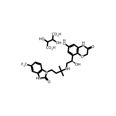 CC(C)(CCn1c(=O)[nH]c2cc(C(F)(F)F)ccc21)NC[C@H](O)c1cc(O)cc2c1OCC(=O)N2.O=C(O)C(O)C(O)C(=O)O